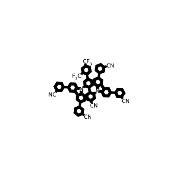 N#Cc1cccc(-c2ccc3c(c2)c2cc(-c4cccc(C#N)c4)ccc2n3-c2cc(C#N)ccc2-c2ccc(-c3ccc(C(F)(F)F)cc3C(F)(F)F)cc2-n2c3ccc(-c4cccc(C#N)c4)cc3c3cc(-c4cccc(C#N)c4)ccc32)c1